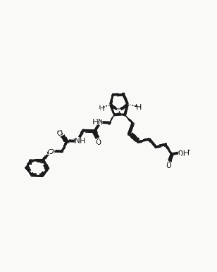 O=C(O)CCC/C=C\C[C@H]1[C@@H](CNC(=O)CNC(=O)COc2ccccc2)[C@H]2CC[C@@H]1S2